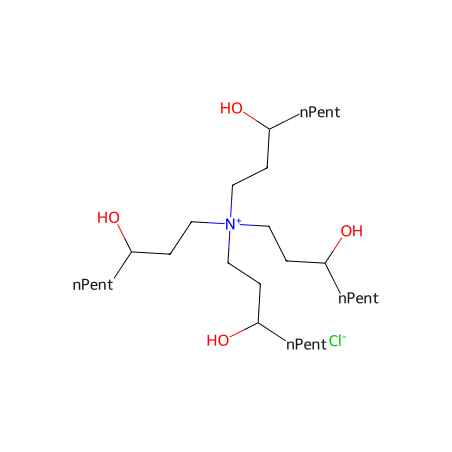 CCCCCC(O)CC[N+](CCC(O)CCCCC)(CCC(O)CCCCC)CCC(O)CCCCC.[Cl-]